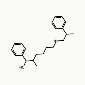 CC(CNCCCCC(C)C(C#N)c1ccccc1)c1ccccc1